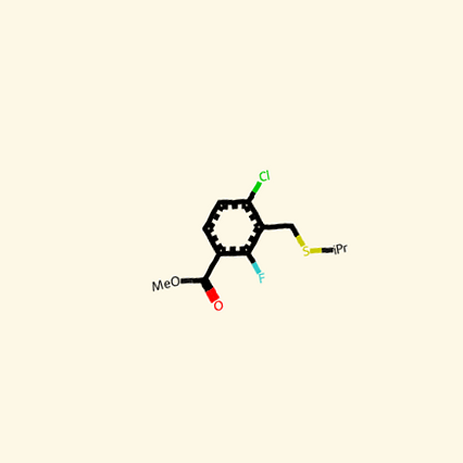 COC(=O)c1ccc(Cl)c(CSC(C)C)c1F